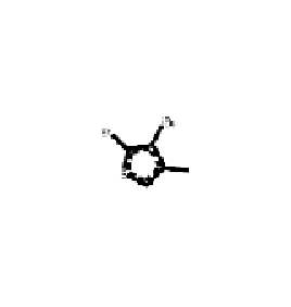 CCc1s[c]c(C)c1C(C)CC